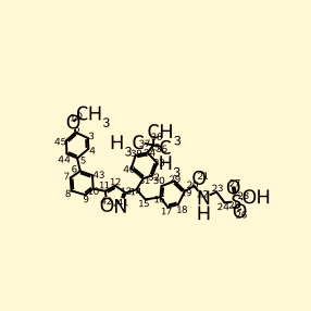 COc1ccc(-c2cccc(-c3cc(C(Cc4ccc(C(=O)NCCS(=O)(=O)O)cc4)c4ccc(C(C)(C)C)cc4)no3)c2)cc1